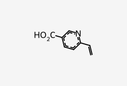 C=Cc1ccc(C(=O)O)cn1